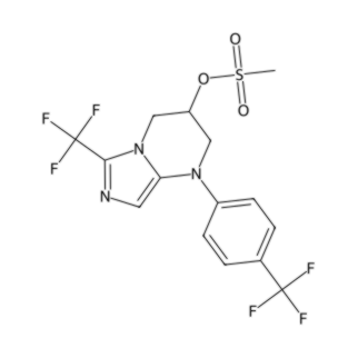 CS(=O)(=O)OC1CN(c2ccc(C(F)(F)F)cc2)c2cnc(C(F)(F)F)n2C1